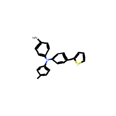 CCCc1ccc(N(c2ccc(C)cc2)c2ccc(-c3cccs3)cc2)cc1